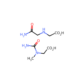 CN(CC(=O)O)C(N)=O.NC(=O)CNCC(=O)O